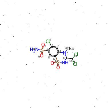 CC(C)(C)N1c2cc(Cl)c(S(N)(=O)=O)cc2S(=O)(=O)NC1C(Cl)Cl